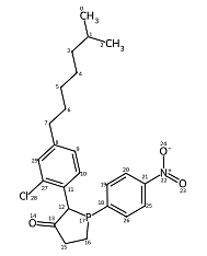 CC(C)CCCCCc1ccc(C2C(=O)CCP2c2ccc([N+](=O)[O-])cc2)c(Cl)c1